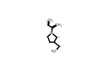 C=CC(=C)N1CCC(CC)C1